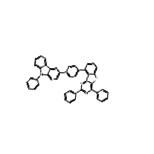 c1ccc(-c2nc(-c3ccccc3)c3oc4cccc(-c5ccc(-c6ccc7c(c6)c6ccccc6n7-c6ccccc6)cc5)c4c3n2)cc1